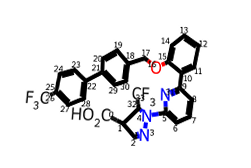 O=C(O)C1C=NN(c2cccc(-c3ccccc3OCc3ccc(-c4ccc(C(F)(F)F)cc4)cc3)n2)C1C(F)(F)F